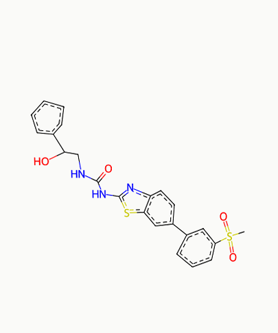 CS(=O)(=O)c1cccc(-c2ccc3nc(NC(=O)NCC(O)c4ccccc4)sc3c2)c1